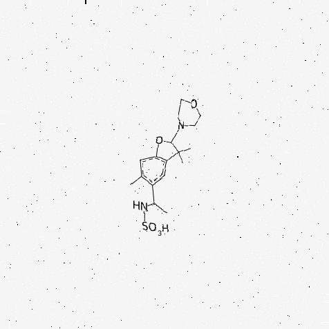 Cc1cc2c(cc1C(C)NS(=O)(=O)O)C(C)(C)C(N1CCOCC1)O2